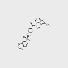 Cc1nc2c(C(O)C(=O)N3CC4=C(C3)CN(S(=O)(=O)c3ccc5c(c3)OCCO5)C4)cccc2o1